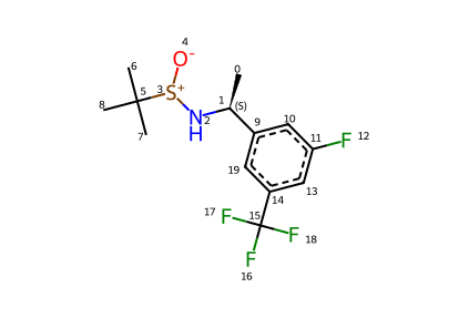 C[C@H](N[S+]([O-])C(C)(C)C)c1cc(F)cc(C(F)(F)F)c1